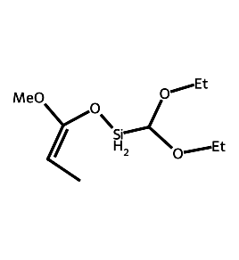 CC=C(OC)O[SiH2]C(OCC)OCC